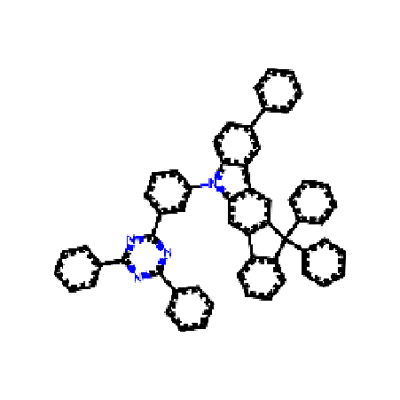 c1ccc(-c2ccc3c(c2)c2cc4c(cc2n3-c2cccc(-c3nc(-c5ccccc5)nc(-c5ccccc5)n3)c2)-c2ccccc2C4(c2ccccc2)c2ccccc2)cc1